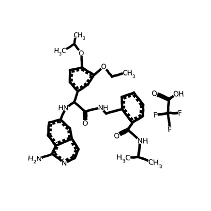 CCOc1cc(C(Nc2ccc3c(N)nccc3c2)C(=O)NCc2ccccc2C(=O)NC(C)C)ccc1OC(C)C.O=C(O)C(F)(F)F